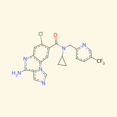 Nc1nc2cc(Cl)c(C(=O)N(Cc3ccc(C(F)(F)F)cn3)C3CC3)cc2n2cncc12